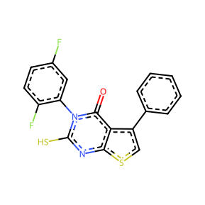 O=c1c2c(-c3ccccc3)csc2nc(S)n1-c1cc(F)ccc1F